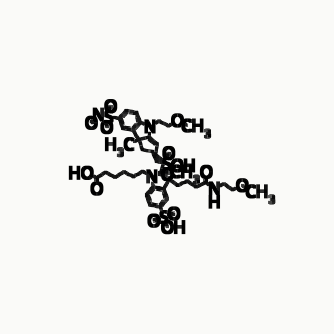 COCCNC(=O)CCCC1(C)C(/C=C/C=C2/N(CCOC)c3ccc(S(=O)(=O)N=O)cc3C2(C)CCCS(=O)(=O)O)=[N+](CCCCCC(=O)O)c2ccc(S(=O)(=O)O)cc21